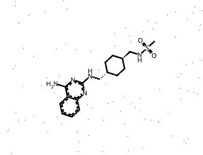 CS(=O)(=O)NC[C@H]1CC[C@H](CNc2nc(N)c3ccccc3n2)CC1